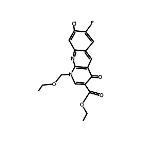 CCOCn1cc(C(=O)OCC)c(=O)c2cc3cc(F)c(Cl)cc3nc21